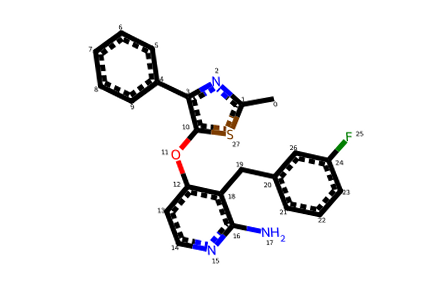 Cc1nc(-c2ccccc2)c(Oc2ccnc(N)c2Cc2cccc(F)c2)s1